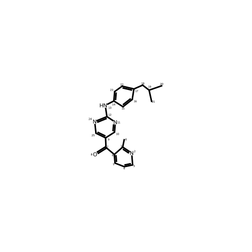 Cc1ncccc1C(=O)c1cnc(Nc2ccc(CC(C)C)cc2)nc1